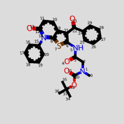 CN(CC(=O)Nc1sc2c(ccc(=O)n2-c2ccccc2)c1C(=O)c1ccccc1)C(=O)OC(C)(C)C